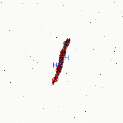 CC(C)CCCOC(=O)CCCCCCCCCCC(=O)Oc1ccc(CC(=O)NCCCN2CCN(CCCNC(=O)Cc3ccc(OC(=O)CCCCCCCCCCC(=O)OCCCC(C)C)cc3)CC2)cc1